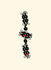 CC(C)N1C(=O)c2ccc3c4ccc5c6c(ccc(c7ccc(c2c37)C1=O)c64)C(=O)N(CCc1ccc(Oc2cc3c4c(ccc6c7c(Oc8ccc(CCN9C(=O)c%10ccc%11c%12ccc%13c%14c(ccc(c%15ccc(c%10c%11%15)C9=O)c%14%12)C(=O)N(C(C)C)C%13=O)cc8)cc8c9c(ccc(c2c46)c97)C(=O)N(C)C8=O)C(=O)N(C)C3=O)cc1)C5=O